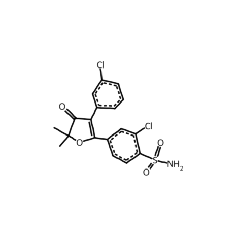 CC1(C)OC(c2ccc(S(N)(=O)=O)c(Cl)c2)=C(c2cccc(Cl)c2)C1=O